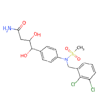 CS(=O)(=O)N(Cc1cccc(Cl)c1Cl)c1ccc(C(O)C(O)CC(N)=O)cc1